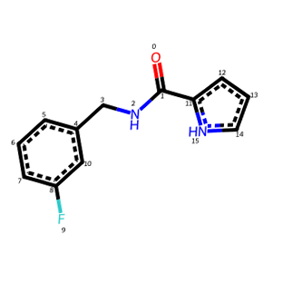 O=C(NCc1cccc(F)c1)c1ccc[nH]1